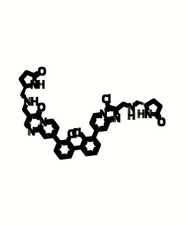 O=C1CC[C@H](CNCc2cnc3cc(-c4cccc(-c5cccc(-c6ccn7c(Cl)c(CNC[C@@H]8CCC(=O)N8)nc7c6)c5Cl)c4Cl)ccn3c2=O)N1